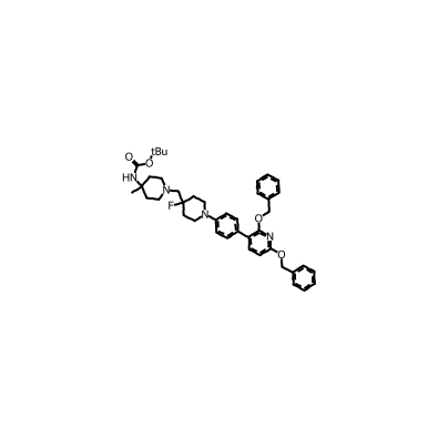 CC1(NC(=O)OC(C)(C)C)CCN(CC2(F)CCN(c3ccc(-c4ccc(OCc5ccccc5)nc4OCc4ccccc4)cc3)CC2)CC1